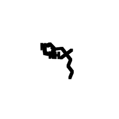 CCCCC(C)(C)Cc1cnc[nH]1